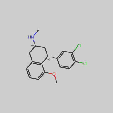 CN[C@H]1Cc2cccc(OC)c2[C@@H](c2ccc(Cl)c(Cl)c2)C1